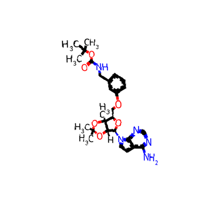 CC(C)(C)OC(=O)NCc1cccc(OC[C@H]2O[C@@H](n3ccc4c(N)ncnc43)[C@@H]3OC(C)(C)O[C@]23C)c1